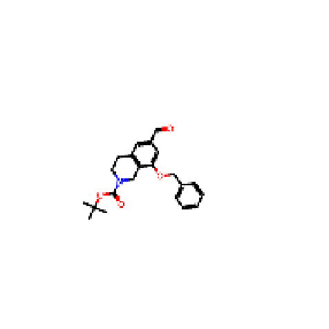 CC(C)(C)OC(=O)N1CCc2cc(C=O)cc(OCc3ccccc3)c2C1